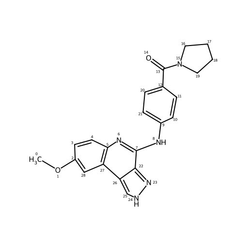 COc1ccc2nc(Nc3ccc(C(=O)N4CCCC4)cc3)c3n[nH]cc3c2c1